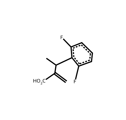 C=C(C(=O)O)C(C)c1c(F)cccc1F